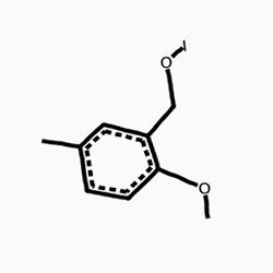 COc1ccc(C)cc1COI